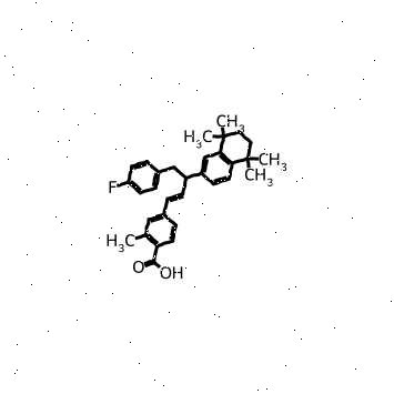 Cc1cc(C=CC(Cc2ccc(F)cc2)c2ccc3c(c2)C(C)(C)CCC3(C)C)ccc1C(=O)O